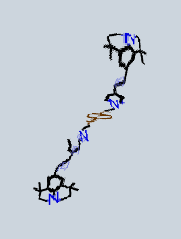 C=CC(/C=C/c1cc2c3c(c1)C(C)(C)CCN3CCC2(C)C)=C\C=N\CCSSCC[n+]1ccc(/C=C/c2cc3c4c(c2)C(C)(C)CCN4CCC3(C)C)cc1